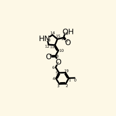 Cc1cccc(COC(=O)C=C2CNCC2C(=O)O)c1